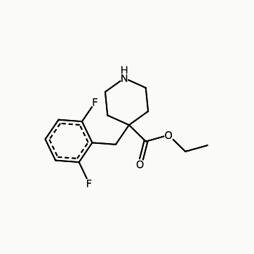 CCOC(=O)C1(Cc2c(F)cccc2F)CCNCC1